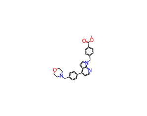 COC(=O)c1ccc(Cn2ccc3c(-c4ccc(CN5CCOCC5)cc4)ccnc32)cc1